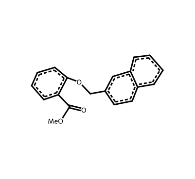 COC(=O)c1ccccc1OCc1ccc2ccccc2c1